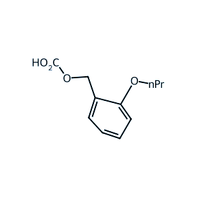 CCCOc1ccccc1COC(=O)O